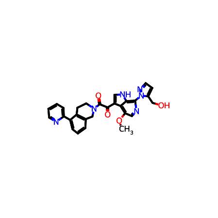 COc1cnc(-n2nccc2CO)c2[nH]cc(C(=O)C(=O)N3CCc4c(cccc4-c4ccccn4)C3)c12